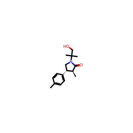 Cc1ccc([C@@H]2CN(C(C)(C)CO)C(=O)[C@H]2C)cc1